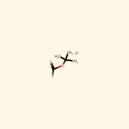 CC(C)(C)OC(=S)[S-].[Li+]